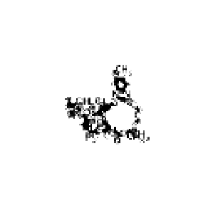 COc1ccc2nc3c(nc2c1)O[C@H]1CN(C(=O)[C@H](C(C)(C)C)NC(=O)OC(C)(C)CCCCCC3)[C@H](C(=O)N[C@]2(C(=O)NS(=O)(=O)C3(C)CC3)C[C@H]2C(F)F)[C@@H]1C